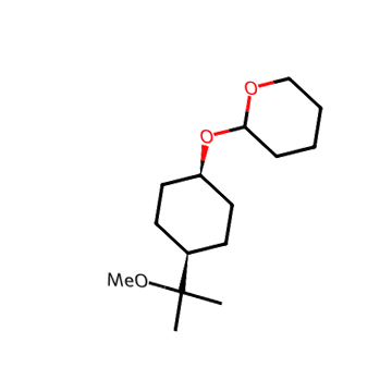 COC(C)(C)[C@H]1CC[C@@H](OC2CCCCO2)CC1